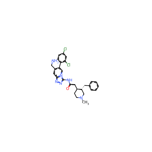 CN1CCC(CC(=O)Nc2nnc3cc(CN)c(-c4ccc(Cl)cc4Cl)cn23)[C@H](Cc2ccccc2)C1